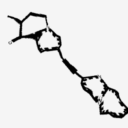 CC1CCn2cc(C#Cc3cn4ccccc4n3)cc2C1=O